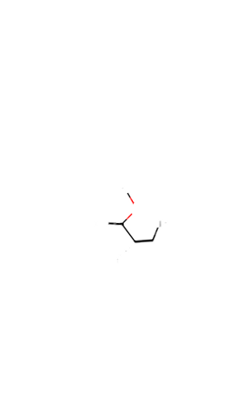 CC(C)C[C@H](C)C(OC(C)C)C(=O)O